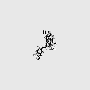 CN1C(=O)Cc2cc(CC[C@H]3C[C@@H](n4ccc5c(N)ncnc54)[C@H](O)[C@@H]3O)ccc21